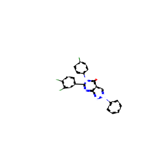 O=c1c2cn(-c3ccccc3)nc2nc(-c2ccc(Cl)c(Cl)c2)n1-c1ccc(Br)cc1